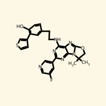 CC1(C)COc2nc3c(NCCc4ccc(O)c(-c5ccsc5)c4)nc(-c4cncc(F)c4)nc3n21